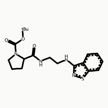 CC(C)(C)OC(=O)N1CCCC1C(=O)NCCNc1nsc2ccccc12